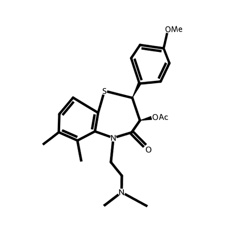 COc1ccc([C@@H]2Sc3ccc(C)c(C)c3N(CCN(C)C)C(=O)[C@@H]2OC(C)=O)cc1